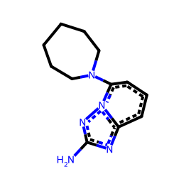 Nc1nc2cccc(N3CCCCCC3)n2n1